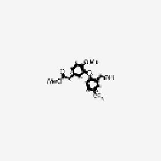 COC(=O)Cc1ccc(OC)c(Oc2ccc(C(F)(F)F)cc2CO)c1